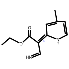 CCOC(=O)/C(C=N)=C1\C=C(C)C=CN1